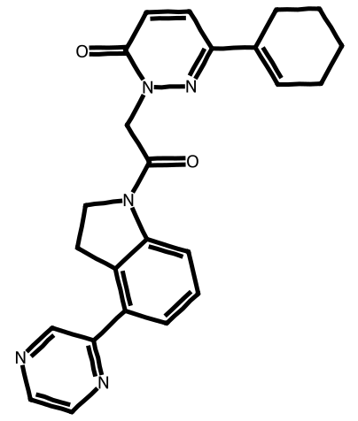 O=C(Cn1nc(C2=CCCCC2)ccc1=O)N1CCc2c(-c3cnccn3)cccc21